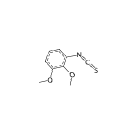 COc1cccc(N=C=S)c1OC